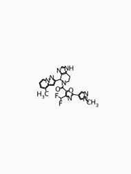 Cc1cccn2nc(C3c4nc[nH]c4CCN3C(=O)c3oc(-c4cnn(C)c4)nc3C(F)F)cc12